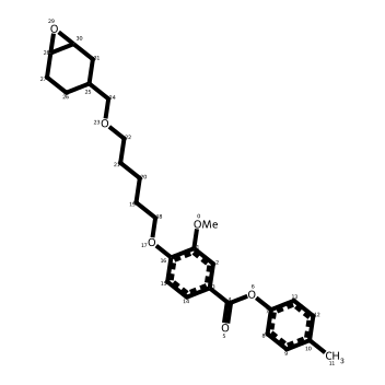 COc1cc(C(=O)Oc2ccc(C)cc2)ccc1OCCCCCOCC1CCC2OC2C1